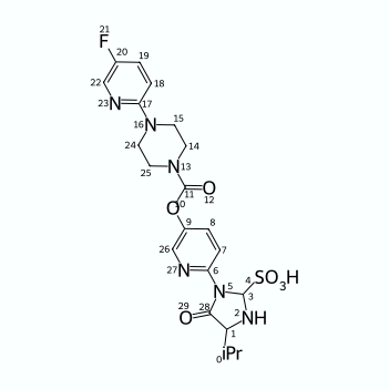 CC(C)C1NC(S(=O)(=O)O)N(c2ccc(OC(=O)N3CCN(c4ccc(F)cn4)CC3)cn2)C1=O